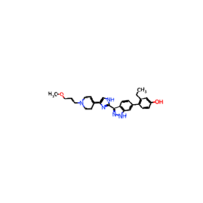 CCc1cc(O)ccc1-c1ccc2c(-c3nc(C4=CCN(CCCOC)CC4)c[nH]3)n[nH]c2c1